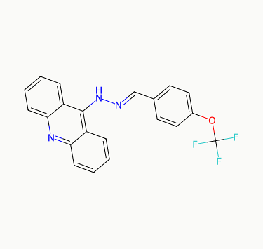 FC(F)(F)Oc1ccc(C=NNc2c3ccccc3nc3ccccc23)cc1